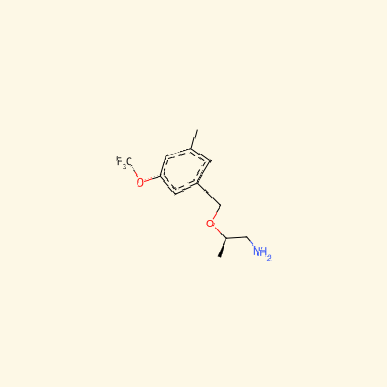 Cc1cc(CO[C@H](C)CN)cc(OC(F)(F)F)c1